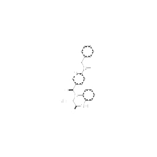 CCC[C@H]1C(=O)Nc2ccccc2N1C(=O)c1ccc(N(C)Cc2ccccc2)nc1